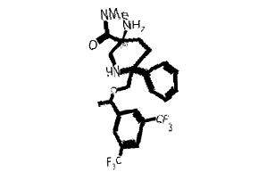 CNC(=O)[C@]1(N)CCC(COC(C)c2cc(C(F)(F)F)cc(C(F)(F)F)c2)(c2ccccc2)NC1